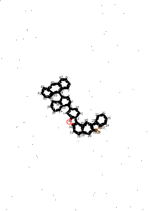 c1ccc2c(-c3ccc(-c4ccc5c(c4)oc4ccc6cc7sc8ccccc8c7cc6c45)c4ccccc34)c3ccccc3cc2c1